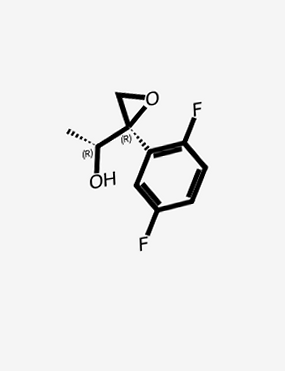 C[C@@H](O)[C@@]1(c2cc(F)ccc2F)CO1